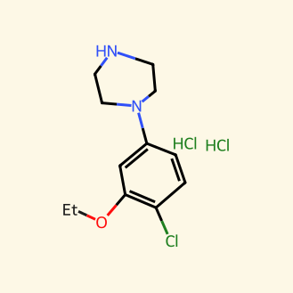 CCOc1cc(N2CCNCC2)ccc1Cl.Cl.Cl